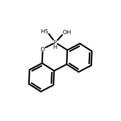 O[PH]1(S)Oc2ccccc2-c2ccccc21